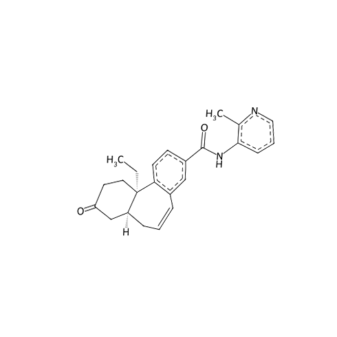 CC[C@@]12CCC(=O)C[C@@H]1CC=Cc1cc(C(=O)Nc3cccnc3C)ccc12